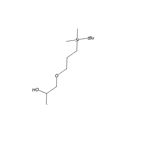 [CH2]C(O)COCCC[Si](C)(C)C(C)(C)C